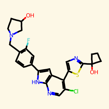 OC1CCN(Cc2ccc(-c3cc4c(-c5cnc(C6(O)CCC6)s5)c(Cl)cnc4[nH]3)cc2F)C1